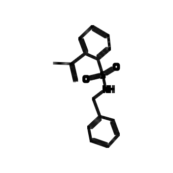 C=C(C)c1ccccc1S(=O)(=O)NCc1ccccc1